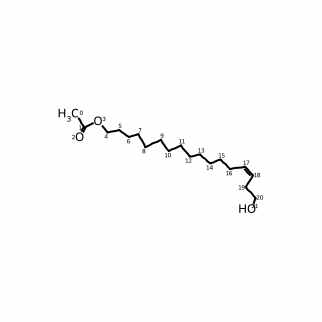 CC(=O)OCCCCCCCCCCCCC/C=C\CCO